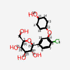 OC[C@H]1O[C@@H](c2ccc(Cl)c(OC3CCC(O)CC3)c2)[C@H](O)[C@@H](O)[C@@H]1O